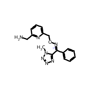 Cn1nnnc1/C(=N\OCc1cccc(CN)n1)c1ccccc1